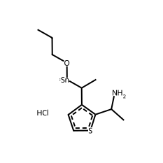 CCC[O][Sn][CH](C)c1ccsc1C(C)N.Cl